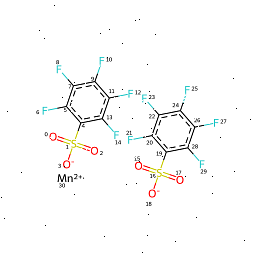 O=S(=O)([O-])c1c(F)c(F)c(F)c(F)c1F.O=S(=O)([O-])c1c(F)c(F)c(F)c(F)c1F.[Mn+2]